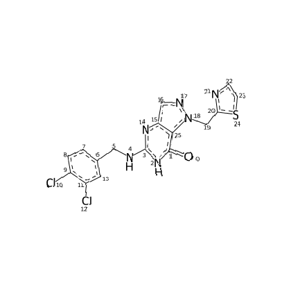 O=c1[nH]c(NCc2ccc(Cl)c(Cl)c2)nc2cnn(Cc3nccs3)c12